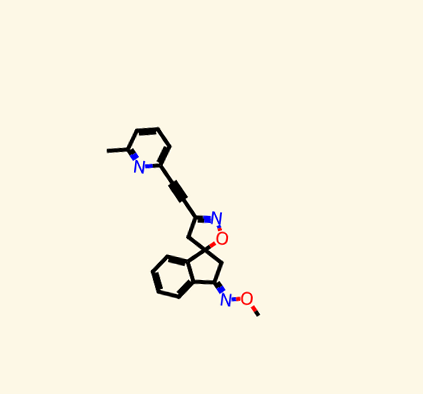 CON=C1CC2(CC(C#Cc3cccc(C)n3)=NO2)c2ccccc21